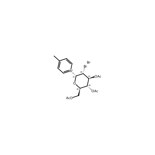 CC(=O)OC[C@H]1O[C@H]([n+]2ccc(C)cc2)[C@H](Br)[C@@H](OC(C)=O)[C@@H]1OC(C)=O.[Br-]